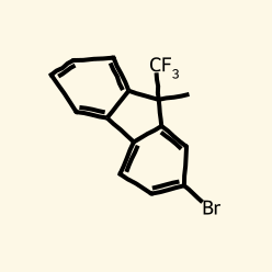 CC1(C(F)(F)F)c2ccccc2-c2ccc(Br)cc21